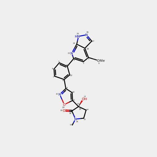 COc1cc(-c2cccc(-c3cc([C@]4(O)CCN(C)C4=O)on3)c2)nc2[nH]ncc12